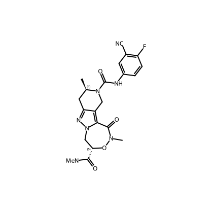 CNC(=O)[C@@H]1Cn2nc3c(c2C(=O)N(C)O1)CN(C(=O)Nc1ccc(F)c(C#N)c1)[C@H](C)C3